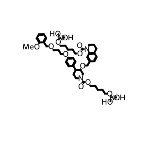 COc1ccccc1COCCCOc1ccc(C2CCN(C(=O)OCCCCCON(O)O)CC2OCc2ccc3c(c2)N(C(=O)OCCCCCON(O)O)CCC3)cc1